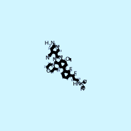 COc1cc(-c2cccc(C(F)CCN[SH](=O)=O)c2F)cc2c(N3CCOCC3C)nc(-c3cnc(N)cc3C#N)nc12